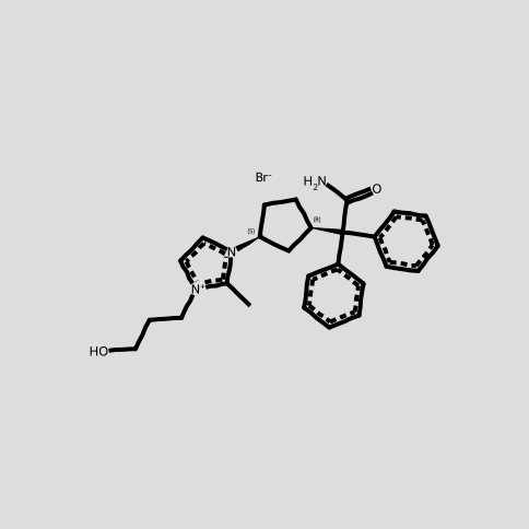 Cc1n([C@H]2CC[C@@H](C(C(N)=O)(c3ccccc3)c3ccccc3)C2)cc[n+]1CCCO.[Br-]